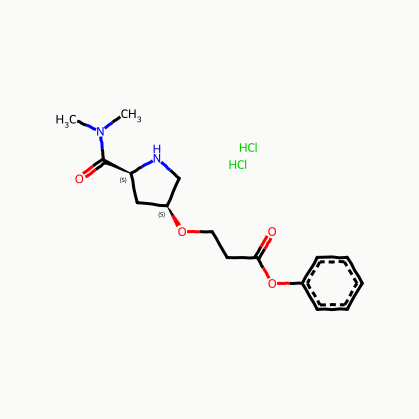 CN(C)C(=O)[C@@H]1C[C@H](OCCC(=O)Oc2ccccc2)CN1.Cl.Cl